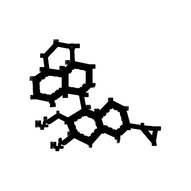 CCc1c(C)cc2nc(C3CC3)ccc2c1-c1ccc2c3c(ccnc13)CCO2